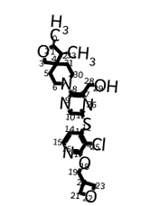 C[C@@H]1OCC2(CCN(c3ncc(Sc4ccnc(OCC5COC5)c4Cl)nc3CO)CC2)[C@@H]1C